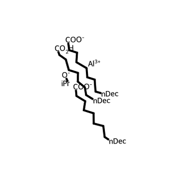 CC(C)[O-].CCCCCCCCCCCCCCCCCC(=O)O.CCCCCCCCCCCCCCCCCC(=O)[O-].CCCCCCCCCCCCCCCCCC(=O)[O-].[Al+3]